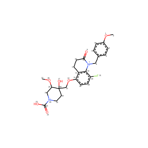 COc1ccc(CN2C(=O)CCc3c(OCC4(O)CCN(C(=O)O)CC4OC)ccc(F)c32)cc1